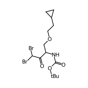 CC(C)(C)OC(=O)NC(COCCC1CC1)C(=O)C(Br)Br